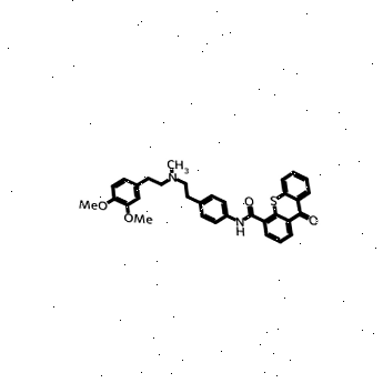 COc1ccc(CCN(C)CCc2ccc(NC(=O)c3cccc4c(=O)c5ccccc5sc34)cc2)cc1OC